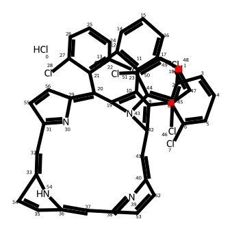 Cl.Clc1cccc(Cl)c1-c1c(-c2c(Cl)cccc2Cl)c2c(-c3c(Cl)cccc3Cl)c3nc(cc4ccc(cc5nc(cc1n2-c1c(Cl)cccc1Cl)C=C5)[nH]4)C=C3